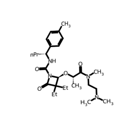 CCC[C@@H](NC(=O)N1C(=O)C(CC)(CC)[C@@H]1O[C@@H](C)C(=O)N(C)CCN(C)C)c1ccc(C)cc1